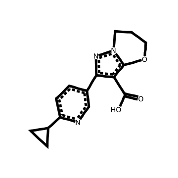 O=C(O)c1c(-c2ccc(C3CC3)nc2)nn2c1OCCC2